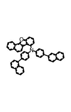 c1ccc2cc(-c3ccc(N(c4ccc(-c5cccc6ccccc56)cc4)c4cccc5oc6c7ccccc7ccc6c45)cc3)ccc2c1